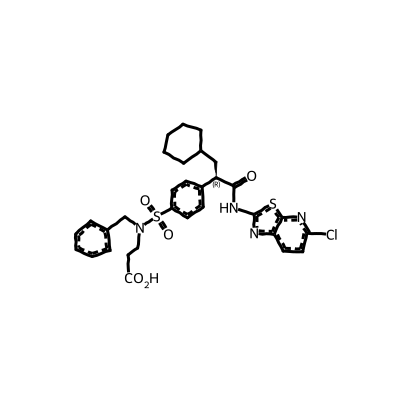 O=C(O)CCN(Cc1ccccc1)S(=O)(=O)c1ccc([C@@H](CC2CCCCC2)C(=O)Nc2nc3ccc(Cl)nc3s2)cc1